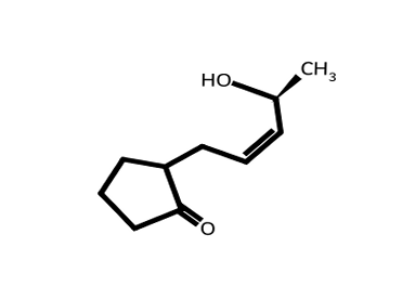 C[C@H](O)/C=C\CC1CCCC1=O